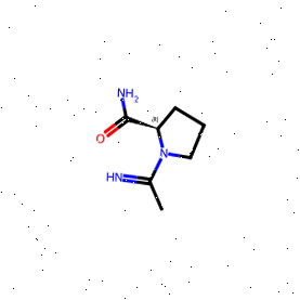 CC(=N)N1CCC[C@@H]1C(N)=O